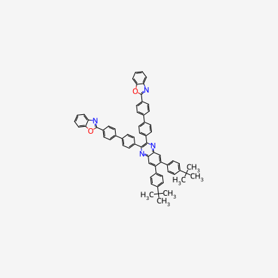 CC(C)(C)c1ccc(-c2cc3nc(-c4ccc(-c5ccc(-c6nc7ccccc7o6)cc5)cc4)c(-c4ccc(-c5ccc(-c6nc7ccccc7o6)cc5)cc4)nc3cc2-c2ccc(C(C)(C)C)cc2)cc1